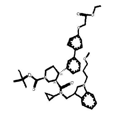 CCOC(=O)COc1ccc(-c2cccc([C@H]3CCN(C(=O)OC(C)(C)C)C[C@@H]3C(=O)N(CC3CN(CCCOC)c4ccccc43)C3CC3)c2)cc1